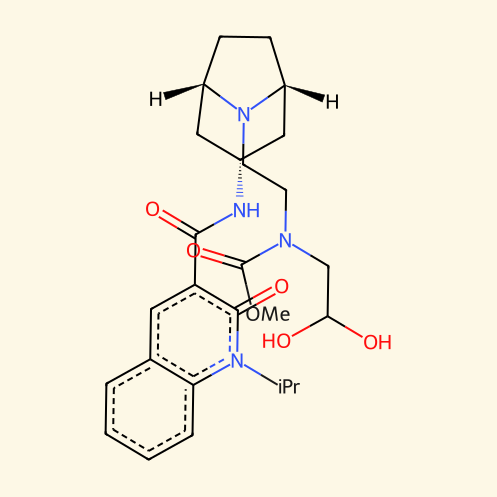 COC(=O)N(CCN1[C@@H]2CC[C@H]1C[C@@H](NC(=O)c1cc3ccccc3n(C(C)C)c1=O)C2)CC(O)O